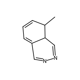 CC1C=CC=C2C=NN=CC21